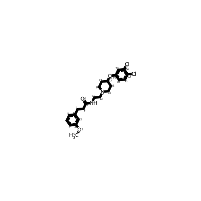 COc1cccc(CCC(=O)NCCN2CCC(Oc3ccc(Cl)c(Cl)c3)CC2)c1